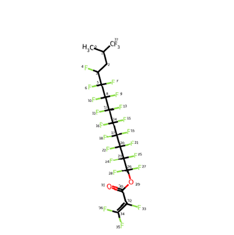 CC(CC(F)C(F)(F)C(F)(F)C(F)(F)C(F)(F)C(F)(F)C(F)(F)C(F)(F)C(F)(F)OC(=O)C(F)=C(F)F)C(F)(F)F